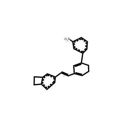 O=[N+]([O-])c1cccc(C2=CC(/C=C/c3ccc4c(c3)CC4)=CCC2)c1